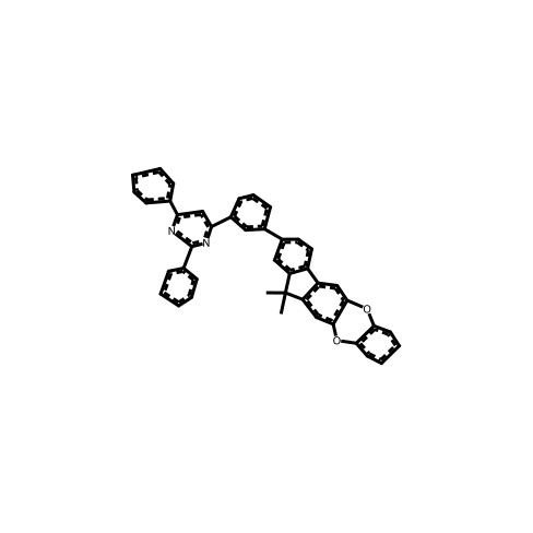 CC1(C)c2cc(-c3cccc(-c4cc(-c5ccccc5)nc(-c5ccccc5)n4)c3)ccc2-c2cc3c(cc21)Oc1ccccc1O3